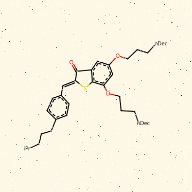 CCCCCCCCCCCCCOc1cc(OCCCCCCCCCCCCC)c2c(c1)C(=O)C(=Cc1ccc(CCCC(C)C)cc1)S2